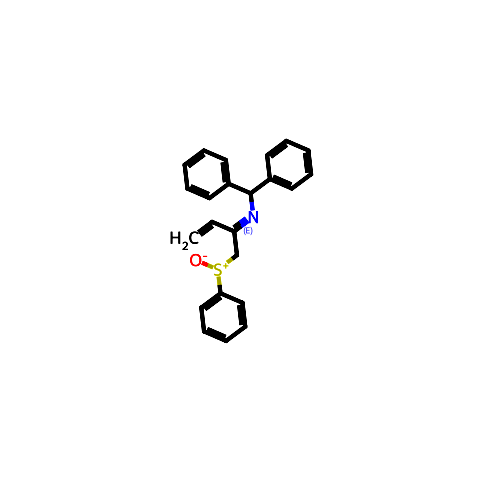 C=C/C(C[S+]([O-])c1ccccc1)=N\C(c1ccccc1)c1ccccc1